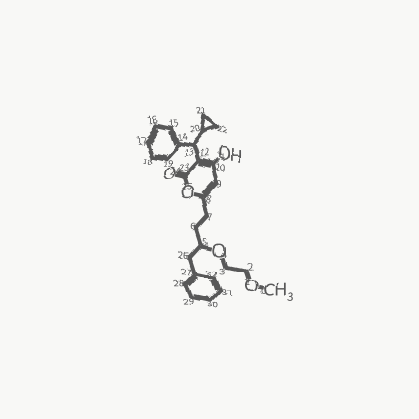 COCCOC(CCc1cc(O)c(C(c2ccccc2)C2CC2)c(=O)o1)Cc1ccccc1